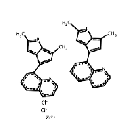 CC1=PC2=C(C)C=C(c3cccc4cccnc34)C2=C1.CC1=PC2=C(C)C=C(c3cccc4cccnc34)C2=C1.[Cl-].[Cl-].[Zr+2]